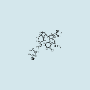 CC(Oc1cc(-c2cnc3ccc(OCCN4CCC[C@@H](O)C4)cn23)sc1C(N)=O)c1ccccc1Cl